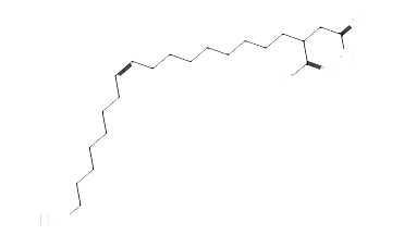 CCCCCCCC/C=C\CCCCCCCCC(CC(=O)Cl)C(=O)Cl